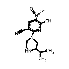 Cc1nc(N2CCNC(C(C)C)C2)c(C#N)cc1[N+](=O)[O-]